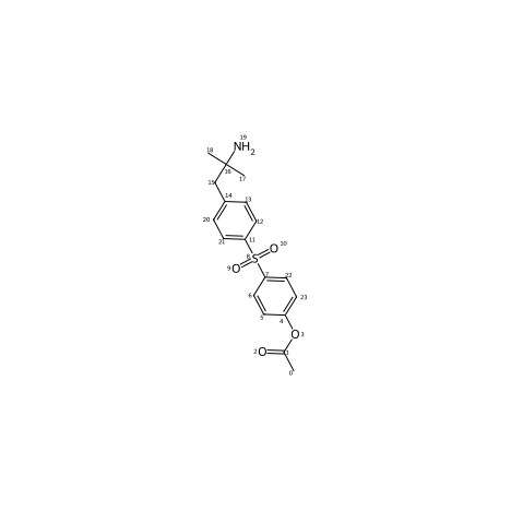 CC(=O)Oc1ccc(S(=O)(=O)c2ccc(CC(C)(C)N)cc2)cc1